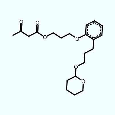 CC(=O)CC(=O)OCCCOc1ccccc1CCCOC1CCCCO1